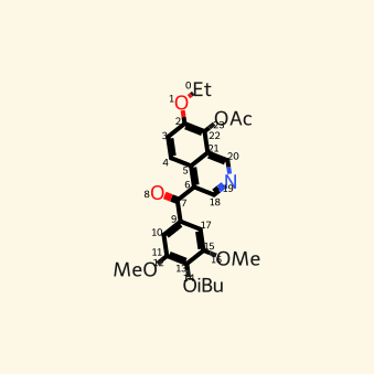 CCOc1ccc2c(C(=O)c3cc(OC)c(OCC(C)C)c(OC)c3)cncc2c1OC(C)=O